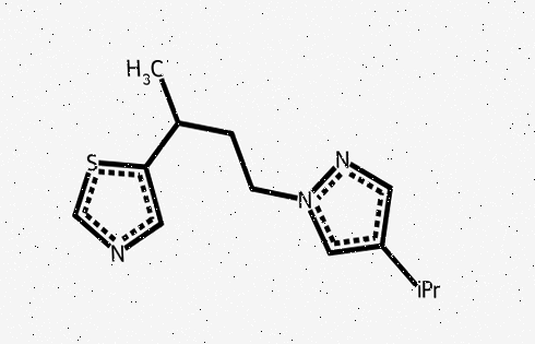 CC(C)c1cnn(CCC(C)c2cncs2)c1